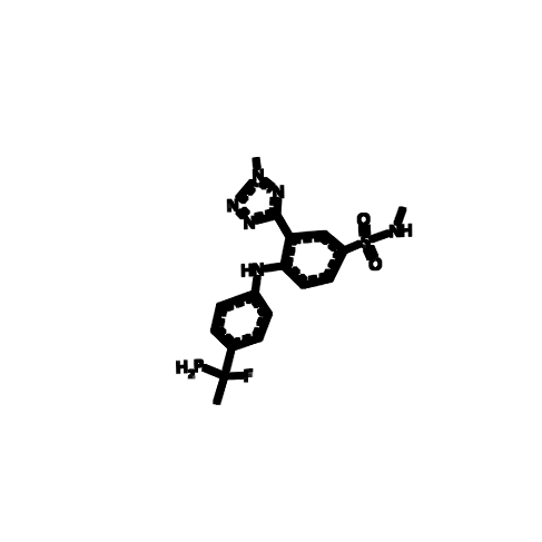 CNS(=O)(=O)c1ccc(Nc2ccc(C(C)(F)P)cc2)c(-c2nnn(C)n2)c1